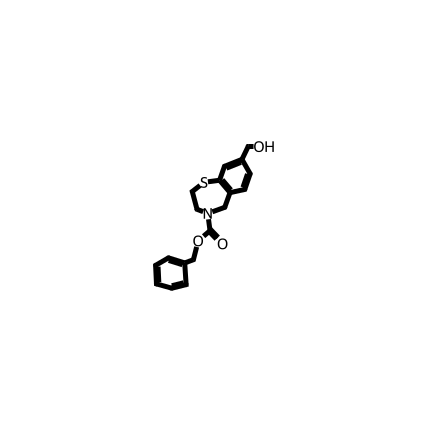 O=C(OCc1ccccc1)N1CCSc2cc(CO)ccc2C1